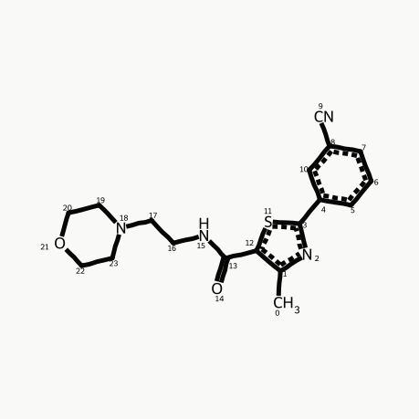 Cc1nc(-c2cccc(C#N)c2)sc1C(=O)NCCN1CCOCC1